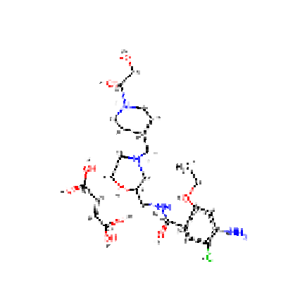 CCOc1cc(N)c(Cl)cc1C(=O)NCC1CN(CC2CCN(C(=O)CO)CC2)CCO1.O=C(O)/C=C/C(=O)O